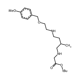 COc1ccc(COCCNCCC(C)CNCC(=O)OC(C)(C)C)cc1